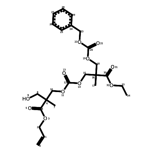 C=CCOC(=O)C(C)(CO)COC(=O)OCC(C)(COC(=O)OCc1ccccc1)C(=O)OCC